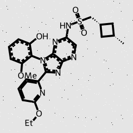 CCOC1=NC(c2nc3ncc(NS(=O)(=O)C[C@H]4C[C@@H](C)C4)nc3n2-c2c(O)cccc2OC)=C=C=C1